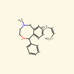 CN1CCOC(c2ccccc2)c2ccccc2C1.O=C(O)/C=C\C(=O)O